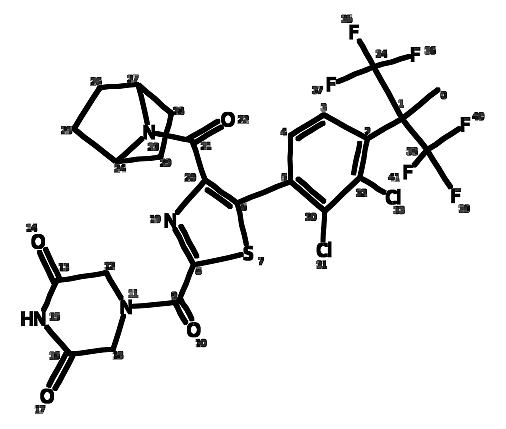 CC(c1ccc(-c2sc(C(=O)N3CC(=O)NC(=O)C3)nc2C(=O)N2C3CCC2CC3)c(Cl)c1Cl)(C(F)(F)F)C(F)(F)F